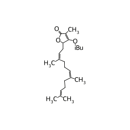 CCC(C)OC1=C(C)C(=O)OC1CC=C(C)CCC=C(C)CCC=C(C)C